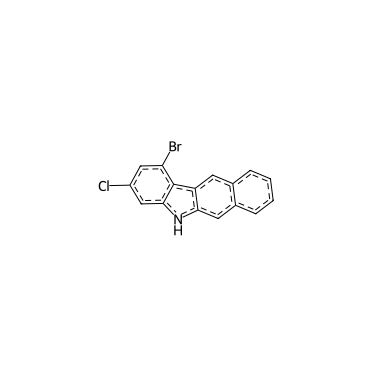 Clc1cc(Br)c2c(c1)[nH]c1cc3ccccc3cc12